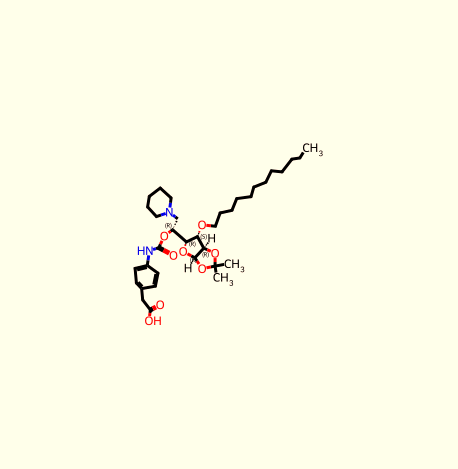 CCCCCCCCCCCCO[C@@H]1[C@H]2OC(C)(C)O[C@H]2O[C@@H]1[C@@H](CN1CCCCC1)OC(=O)Nc1ccc(CC(=O)O)cc1